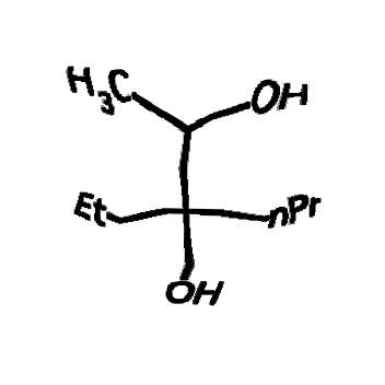 CCCC(O)(CC)C(C)O